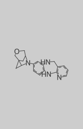 c1cnc2c(c1)CNc1cc(N3C4COCC5(C4)CC35)ccc1N2